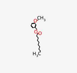 CCCCCCCCCC(=O)OCc1cccc(OCC)c1